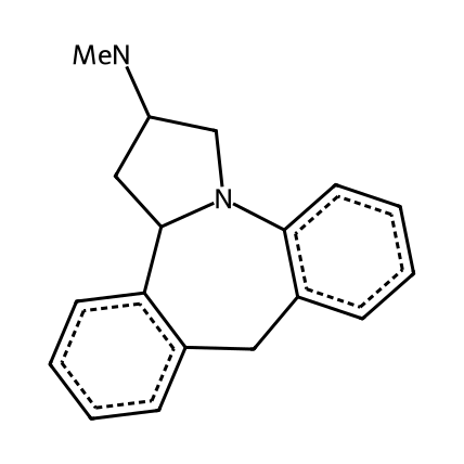 CNC1CC2c3ccccc3Cc3ccccc3N2C1